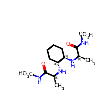 C[C@H](N[C@@H]1CCCC[C@H]1N[C@H](C)C(=O)NC(=O)O)C(=O)NC(=O)O